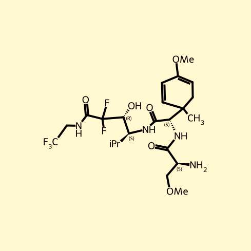 COC[C@H](N)C(=O)N[C@H](C(=O)N[C@@H](C(C)C)[C@@H](O)C(F)(F)C(=O)NCC(F)(F)F)C1(C)C=CC(OC)=CC1